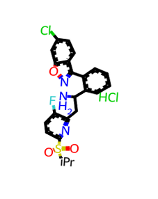 CC(C)S(=O)(=O)c1ccc(F)c(CC(N)c2ccccc2-c2noc3cc(Cl)ccc23)n1.Cl